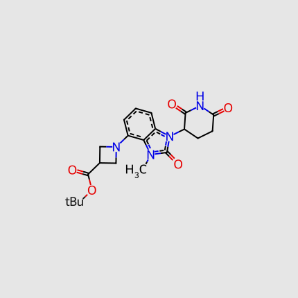 Cn1c(=O)n(C2CCC(=O)NC2=O)c2cccc(N3CC(C(=O)OC(C)(C)C)C3)c21